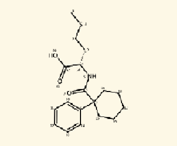 CSCC[C@H](NC(=O)C1(c2ccccc2)CCCCC1)C(=O)O